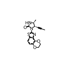 CC#C[C@@H]1[C@H](C)NC(=O)N1c1nc2c3c(ccc2s1)OCCO3